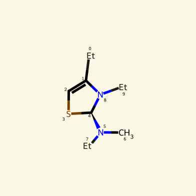 CCC1=CS[C@H](N(C)CC)N1CC